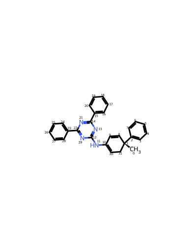 C[C@]1(c2ccccc2)C=CC(Nc2nc(-c3ccccc3)nc(-c3ccccc3)n2)=CC1